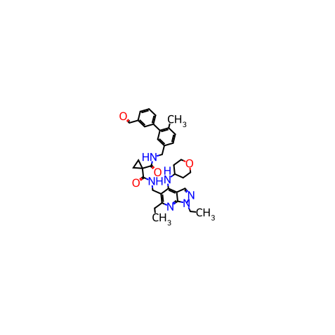 CCc1nc2c(cnn2CC)c(NC2CCOCC2)c1CNC(=O)C1(C(=O)NCc2ccc(C)c(-c3cccc(C=O)c3)c2)CC1